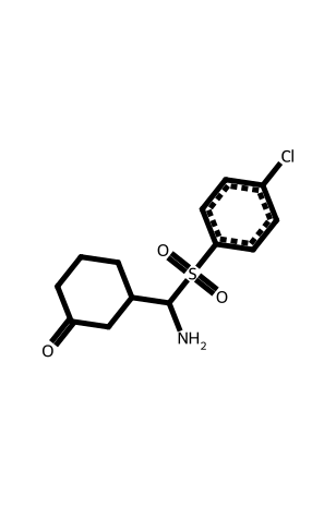 NC(C1CCCC(=O)C1)S(=O)(=O)c1ccc(Cl)cc1